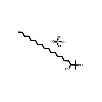 CCCCCCCCCCCCCCCCC(O)C(C)(C)N.O=P(O)(O)O